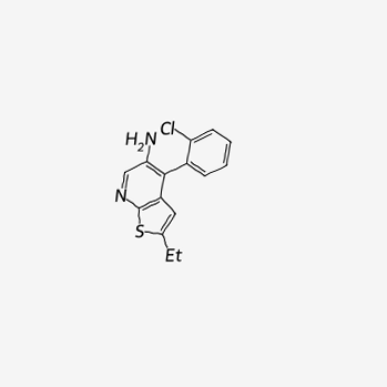 CCc1cc2c(-c3ccccc3Cl)c(N)cnc2s1